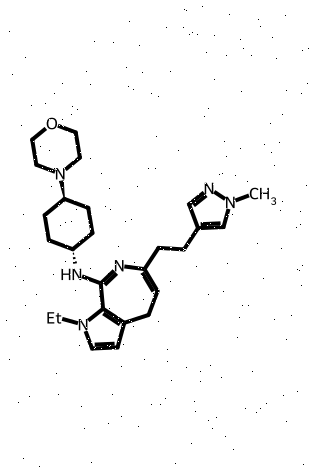 CCn1ccc2c1C(N[C@H]1CC[C@H](N3CCOCC3)CC1)=NC(CCc1cnn(C)c1)=CC2